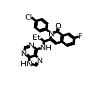 CCC(Nc1ncnc2[nH]cnc12)c1cc2ccc(F)cc2c(=O)n1-c1ccc(Cl)cc1